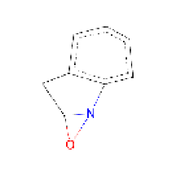 c1ccc2c(c1)CC1ON21